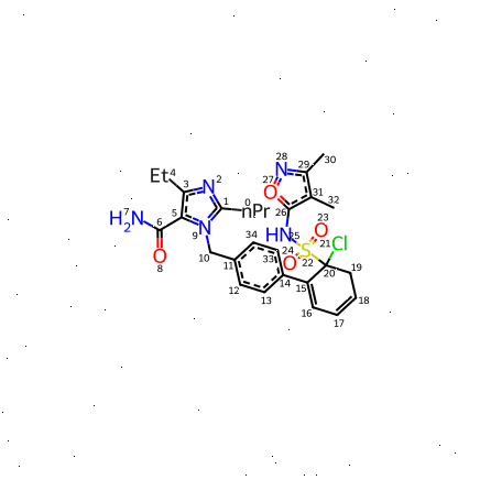 CCCc1nc(CC)c(C(N)=O)n1Cc1ccc(C2=CC=CCC2(Cl)S(=O)(=O)Nc2onc(C)c2C)cc1